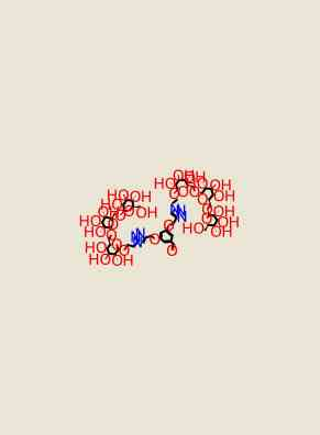 O=Cc1cc(OCc2cn(CCO[C@@H]3O[C@H](CO[C@@H]4O[C@H](CO[C@@H]5O[C@H](CO)[C@@H](O)[C@H](O)[C@H]5O)[C@@H](O)[C@H](O)[C@H]4O)[C@@H](O)[C@H](O)[C@H]3O)nn2)cc(OCc2cn(CCO[C@@H]3O[C@H](CO[C@@H]4O[C@H](CO[C@@H]5O[C@H](CO)[C@@H](O)[C@H](O)[C@H]5O)[C@@H](O)[C@H](O)[C@H]4O)[C@@H](O)[C@H](O)[C@H]3O)nn2)c1